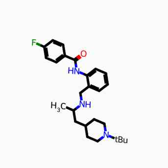 CC(CC1CCN(C(C)(C)C)CC1)NCc1ccccc1NC(=O)c1ccc(F)cc1